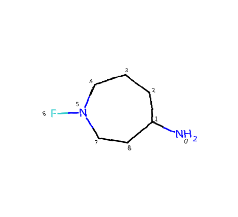 NC1CCCN(F)CC1